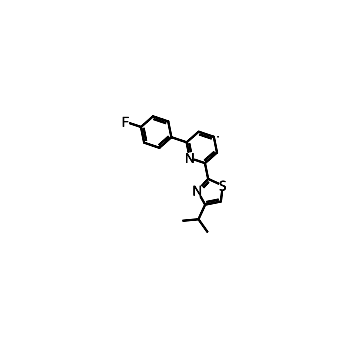 CC(C)c1csc(-c2c[c]cc(-c3ccc(F)cc3)n2)n1